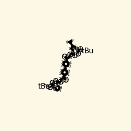 CC(C)(C)OC(=O)N1CC(C2CC2)=C[C@H]1C(=O)OCC(=O)c1ccc(-c2ccc(C(=O)COC(=O)[C@@H]3CCCN3C(=O)OC(C)(C)C)cc2)cc1